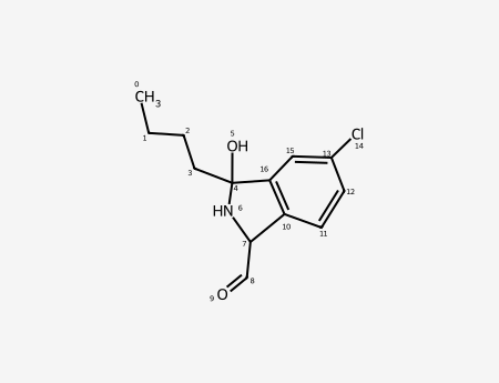 CCCCC1(O)NC(C=O)c2ccc(Cl)cc21